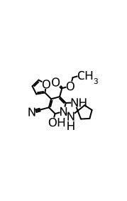 CCOC(=O)C1=C2NC3(CCCC3)NN2C(O)C(C#N)=C1c1ccco1